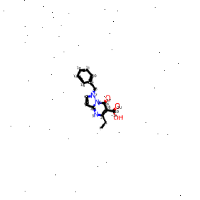 CCc1nc2ccn(Cc3ccccc3)n2c(=O)c1C(=O)O